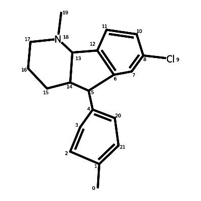 Cc1ccc(C2c3cc(Cl)ccc3C3C2CCCN3C)cc1